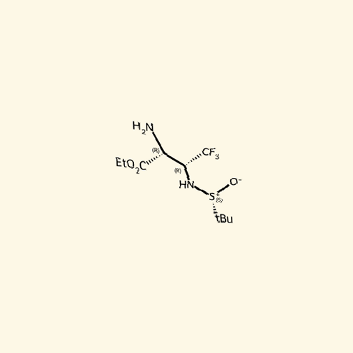 CCOC(=O)[C@H](N)[C@@H](N[S@+]([O-])C(C)(C)C)C(F)(F)F